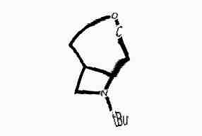 CC(C)(C)N1CC2CCOCCC21